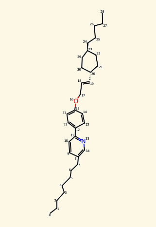 CCCCCCCCc1ccc(-c2ccc(OCC=C[C@H]3CC[C@H](CCCCC)CC3)cc2)nc1